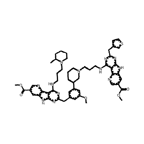 COC(=O)c1cnc2c(c1)[nH]c1nc(Cc3ccsc3)nc(NCCCN3CCCC(c4cc(Cc5nc(NCCCN6CCCCC6C)c6c(n5)[nH]c5cc(C(=O)OC)cnc56)cc(OC)c4)C3)c12